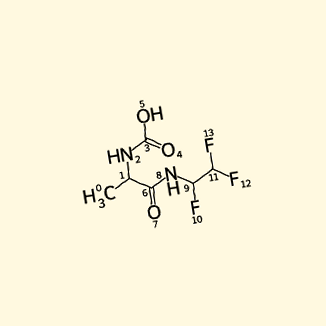 CC(NC(=O)O)C(=O)NC(F)C(F)F